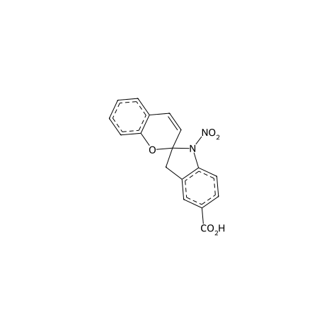 O=C(O)c1ccc2c(c1)CC1(C=Cc3ccccc3O1)N2[N+](=O)[O-]